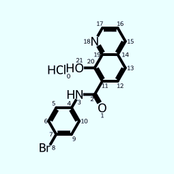 Cl.O=C(Nc1ccc(Br)cc1)c1ccc2cccnc2c1O